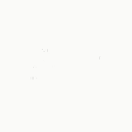 NC(=O)OC(CO)Cc1ccc(F)cc1